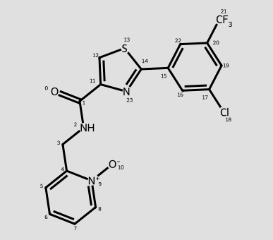 O=C(NCc1cccc[n+]1[O-])c1csc(-c2cc(Cl)cc(C(F)(F)F)c2)n1